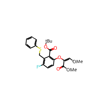 COC=C(Oc1ccc(F)c(CSc2ccccc2)c1C(=O)OC(C)(C)C)C(=O)OC